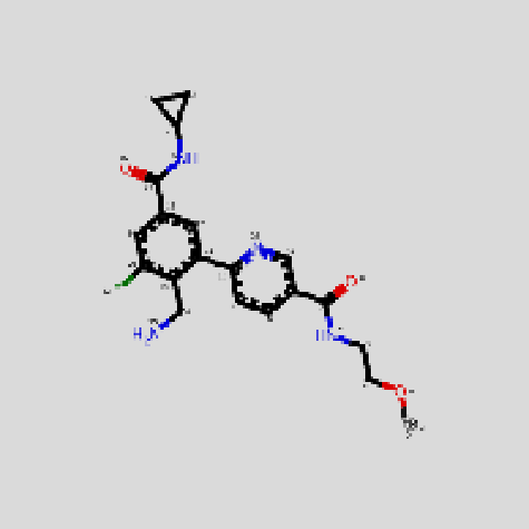 CC(C)(C)OCCNC(=O)c1ccc(-c2cc(C(=O)NC3CC3)cc(F)c2CN)nc1